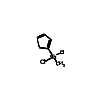 [CH3][Rh]([Cl])([Cl])[C]1=CC=CC1